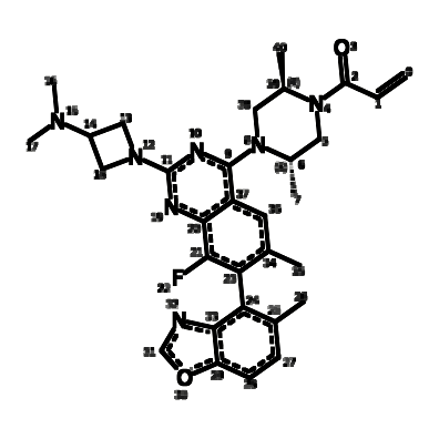 C=CC(=O)N1C[C@H](C)N(c2nc(N3CC(N(C)C)C3)nc3c(F)c(-c4c(C)ccc5ocnc45)c(C)cc23)C[C@H]1C